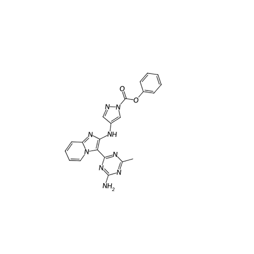 Cc1nc(N)nc(-c2c(Nc3cnn(C(=O)Oc4ccccc4)c3)nc3ccccn23)n1